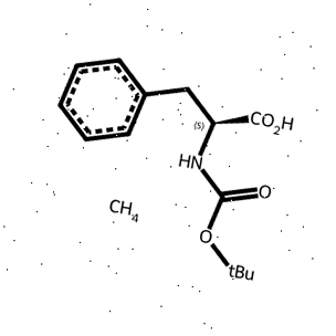 C.CC(C)(C)OC(=O)N[C@@H](Cc1ccccc1)C(=O)O